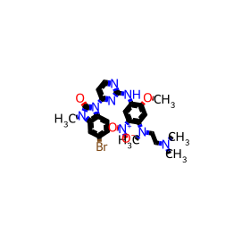 COc1cc(N(C)CCN(C)C)c([N+](=O)[O-])cc1Nc1nccc(-n2c(=O)n(C)c3cc(Br)ccc32)n1